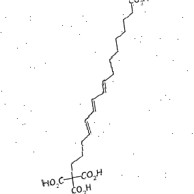 O=C(O)CCCCCCCC=CC=CC=CCCCC(C(=O)O)(C(=O)O)C(=O)O